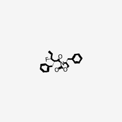 C=C[C@@H](F)[C@@H](Cc1ccccc1)C(=O)N1C(=O)OC[C@H]1Cc1ccccc1